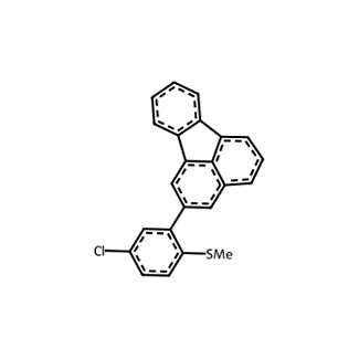 CSc1ccc(Cl)cc1-c1cc2c3c(cccc3c1)-c1ccccc1-2